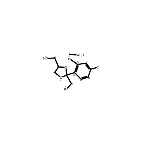 CS(=O)(=O)O.OCC1COC(CBr)(c2ccc(Cl)cc2Cl)O1